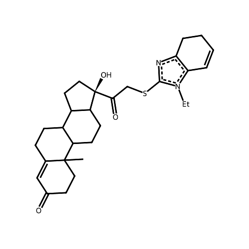 CCn1c(SCC(=O)[C@@]2(O)CCC3C4CCC5=CC(=O)CCC5(C)C4CCC32)nc2c1C=CCC2